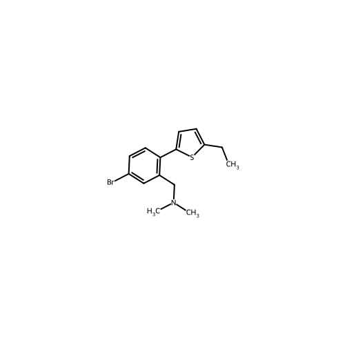 CCc1ccc(-c2ccc(Br)cc2CN(C)C)s1